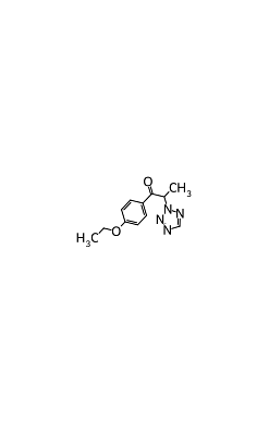 CCOc1ccc(C(=O)C(C)n2ncnn2)cc1